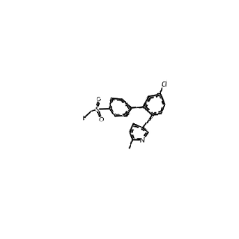 Cc1ccc(-c2ccc(Cl)cc2-c2ccc(S(=O)(=O)CI)cc2)cn1